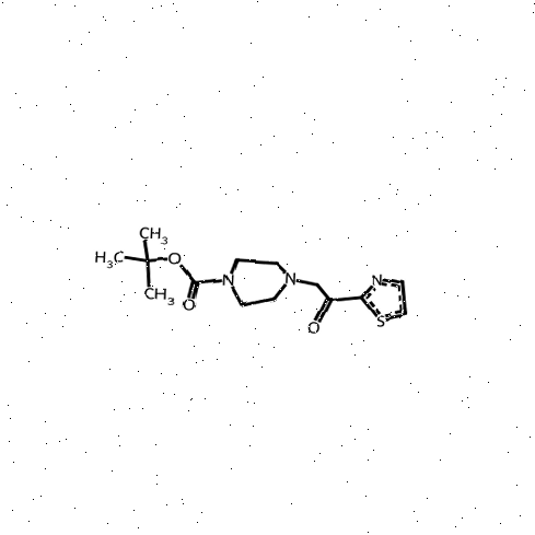 CC(C)(C)OC(=O)N1CCN(CC(=O)c2nccs2)CC1